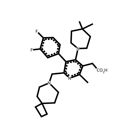 Cc1nc(CN2CCC3(CCC3)CC2)c(-c2ccc(F)c(F)c2)c(N2CCC(C)(C)CC2)c1CC(=O)O